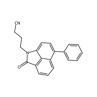 N#CCCCN1C(=O)c2cccc3c(-c4ccccc4)ccc1c23